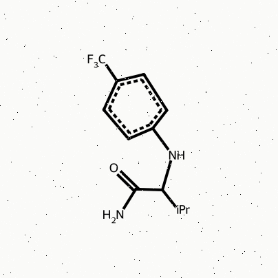 CC(C)C(Nc1ccc(C(F)(F)F)cc1)C(N)=O